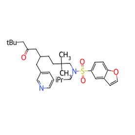 CC(C)CN(CC(C)(C)CCC(CC(=O)CC(C)(C)C)Cc1cccnc1)S(=O)(=O)c1ccc2occc2c1